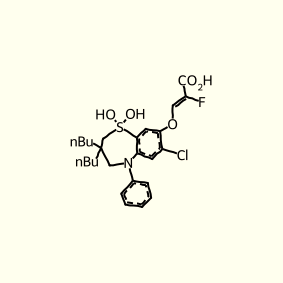 CCCCC1(CCCC)CN(c2ccccc2)c2cc(Cl)c(OC=C(F)C(=O)O)cc2S(O)(O)C1